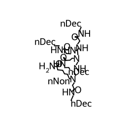 CCCCCCCCCCCCNC(=O)CCNC(CN(CCNCCN(CCC(=O)NCCCCCCCCCCCC)C(CCCCCCCCC)CCCCC(N)=O)CCC(=O)NCCCCCCCCCCCC)NCCC(=O)NCCCCCCCCCCCC